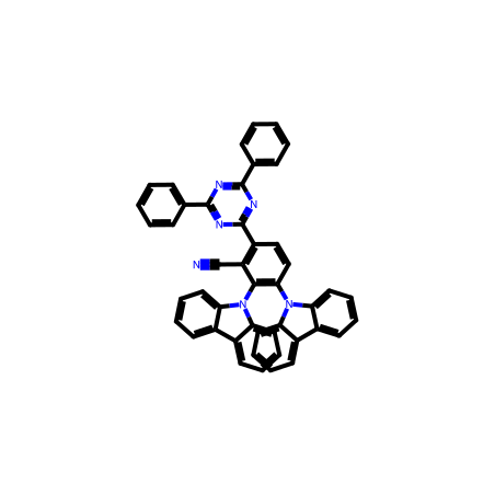 N#Cc1c(-c2nc(-c3ccccc3)nc(-c3ccccc3)n2)ccc(-n2c3ccccc3c3ccccc32)c1-n1c2ccccc2c2ccccc21